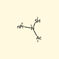 CCCN(S)C(C)=O